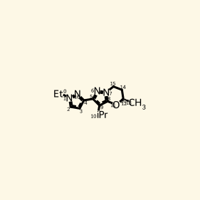 CCn1ccc(-c2nn3c(c2C(C)C)O[C@H](C)CC3)n1